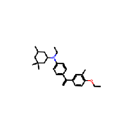 C=C(c1ccc(N(CC)C2CC(C)CC(C)(C)C2)cc1)c1ccc(OCC)c(C)c1